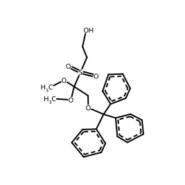 COC(COC(c1ccccc1)(c1ccccc1)c1ccccc1)(OC)S(=O)(=O)CCO